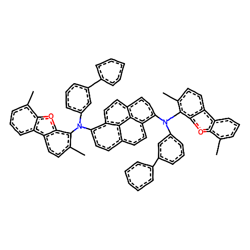 Cc1ccc2c(oc3c(C)cccc32)c1N(c1cccc(-c2ccccc2)c1)c1ccc2ccc3c(N(c4cccc(-c5ccccc5)c4)c4c(C)ccc5c4oc4c(C)cccc45)ccc4ccc1c2c43